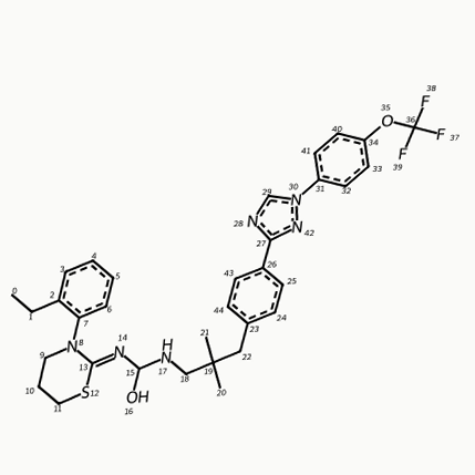 CCc1ccccc1N1CCCS/C1=N\C(O)NCC(C)(C)Cc1ccc(-c2ncn(-c3ccc(OC(F)(F)F)cc3)n2)cc1